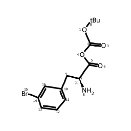 CC(C)(C)OC(=O)OC(=O)[C@@H](N)Cc1cccc(Br)c1